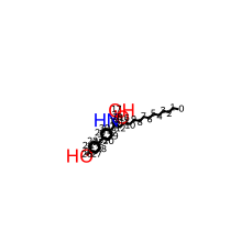 CCCCCCCCCCCCCC(NC(=O)O)c1ccc(-c2ccc(O)cc2)cc1